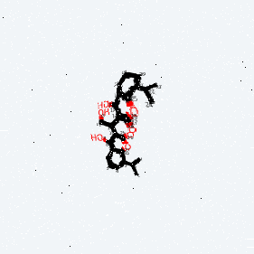 CC(C)c1cccc2c(O)c(C(CO)c3c(O)c4cccc(C(C)C)c4oc3=O)c(=O)oc12